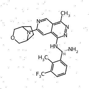 Cc1c([C@@H](N)Nc2nnc(C)c3cnc(N4C5CCC4COC5)cc23)cccc1C(F)(F)F